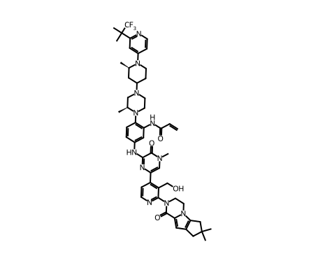 C=CC(=O)Nc1cc(Nc2nc(-c3ccnc(N4CCn5c(cc6c5CC(C)(C)C6)C4=O)c3CO)cn(C)c2=O)ccc1N1CCN(C2CCN(c3ccnc(C(C)(C)C(F)(F)F)c3)[C@H](C)C2)C[C@@H]1C